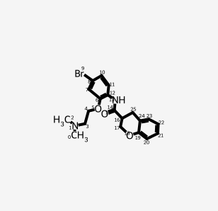 CN(C)CCOc1cc(Br)ccc1NC(=O)C1COc2ccccc2C1